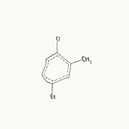 [CH2]Cc1ccc(Cl)c(C)c1